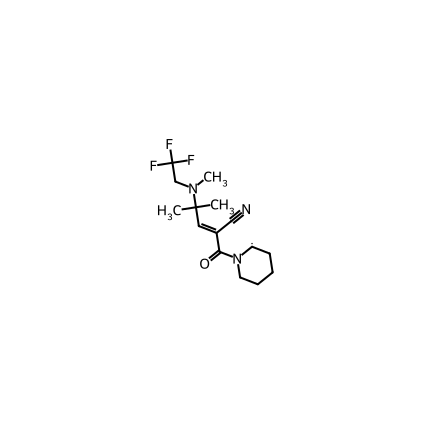 CN(CC(F)(F)F)C(C)(C)C=C(C#N)C(=O)N1[CH]CCCC1